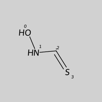 ON[C]=S